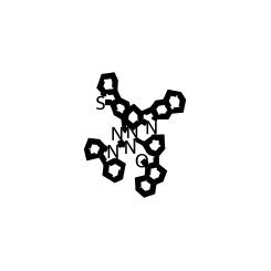 c1ccc2cc3c(cc2c1)c1ccccc1n3-c1ccc2c(oc3c4ccccc4ccc23)c1-c1nc(-c2ccc3c(c2)sc2ccccc23)nc(-n2c3ccccc3c3ccccc32)n1